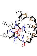 Cc1ccc(-c2ccc(-c3ccc(-c4ccc(-c5ccc(C(=O)NCC(=O)N[C@@H](CC(=O)O)C(=O)N[C@@H](CC(=O)O)C(=O)N[C@@H](C)C(=O)N[C@@H](CC(=O)O)C(=O)O)s5)s4)s3)s2)s1